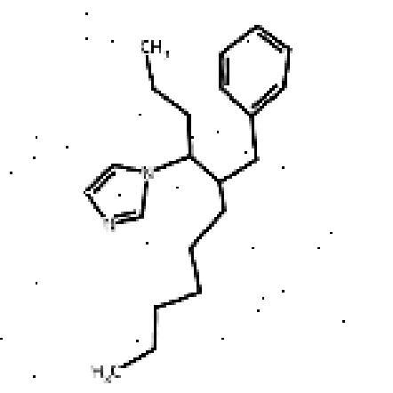 CCCCCCC(Cc1ccccc1)C(CCC)n1ccnc1